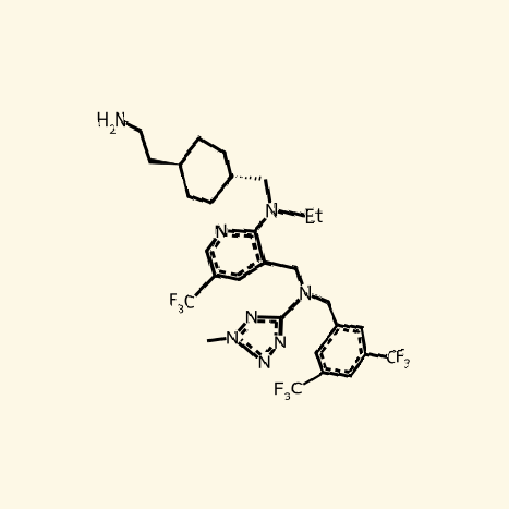 CCN(C[C@H]1CC[C@H](CCN)CC1)c1ncc(C(F)(F)F)cc1CN(Cc1cc(C(F)(F)F)cc(C(F)(F)F)c1)c1nnn(C)n1